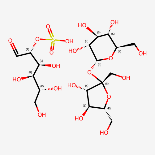 O=C[C@H](OS(=O)(=O)O)[C@@H](O)[C@H](O)[C@H](O)CO.OC[C@H]1O[C@@](CO)(O[C@H]2O[C@H](CO)[C@@H](O)[C@H](O)[C@H]2O)[C@@H](O)[C@@H]1O